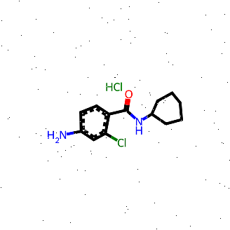 Cl.Nc1ccc(C(=O)NC2CCCCC2)c(Cl)c1